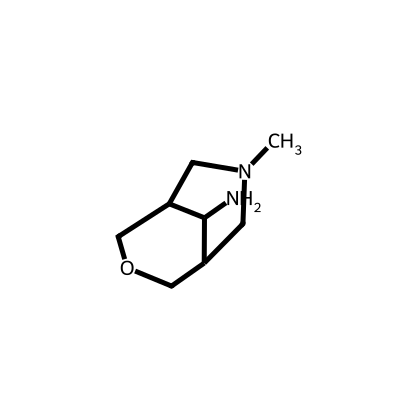 CN1CC2COCC(C1)C2N